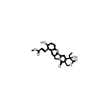 CCC1(O)C(=O)OCc2c1cc1n(c2=O)Cc2cc3c(C=CC(=O)OC)c(O)ccc3nc2-1